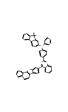 CC1(C)c2ccccc2-c2ccc(N(c3ccccc3)c3ccc(-c4nc(-c5ccc6c(c5)sc5c7ccccc7ccc65)c5ccccc5n4)cc3)cc21